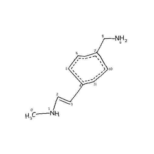 CN/C=C/c1ccc(CN)cc1